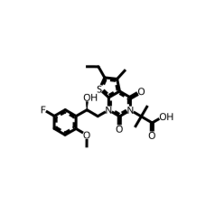 CCc1sc2c(c1C)c(=O)n(C(C)(C)C(=O)O)c(=O)n2C[C@H](O)c1cc(F)ccc1OC